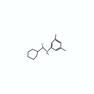 Cc1cc(C)cc([SiH2]C(Cl)C2CCCCC2)c1